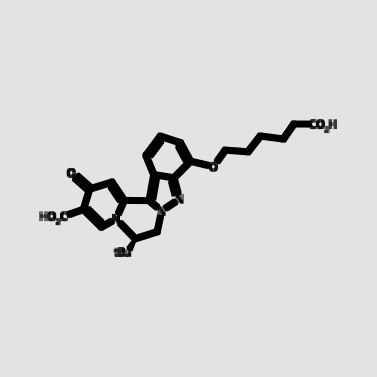 CC(C)(C)[C@@H]1Cn2nc3c(OCCCCCC(=O)O)cccc3c2-c2cc(=O)c(C(=O)O)cn21